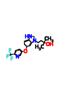 CC(C)(O)CCN1CNC2=CCC(Oc3ccc(C(F)(F)F)nc3)C=C21